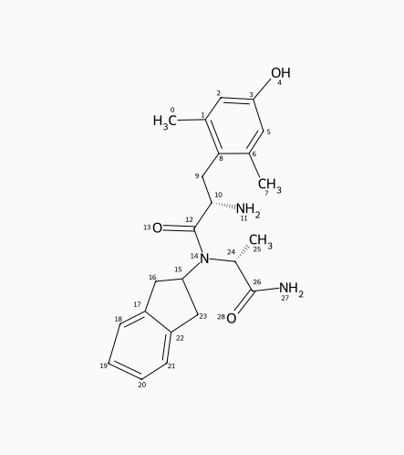 Cc1cc(O)cc(C)c1C[C@H](N)C(=O)N(C1Cc2ccccc2C1)[C@H](C)C(N)=O